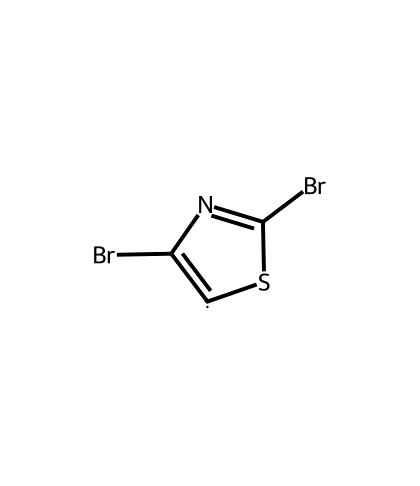 Brc1[c]sc(Br)n1